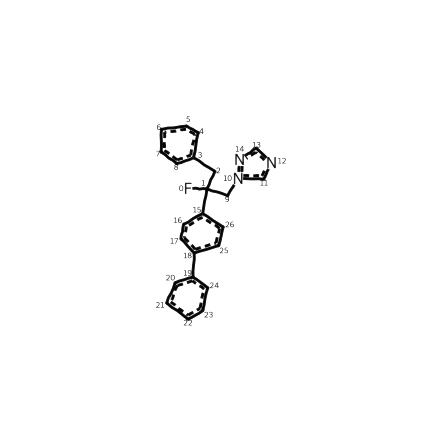 FC(Cc1ccccc1)(Cn1cncn1)c1ccc(-c2ccccc2)cc1